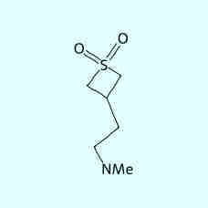 CNCCC1CS(=O)(=O)C1